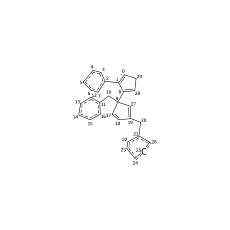 [C]1=C(c2ccccc2)C(C2(Cc3ccccc3)C=CC(Cc3ccccc3)=C2)=CC1